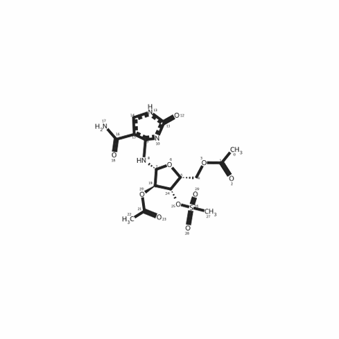 CC(=O)OC[C@H]1O[C@@H](Nc2nc(=O)[nH]cc2C(N)=O)[C@H](OC(C)=O)[C@H]1OS(C)(=O)=O